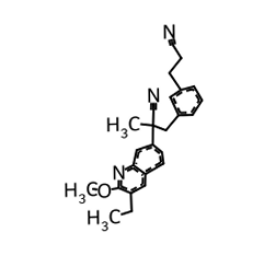 CCc1cc2ccc(C(C)(C#N)Cc3cccc(CCC#N)c3)cc2nc1OC